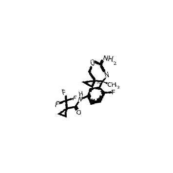 C[C@]1(c2cc(NC(=O)C3(C(F)(F)F)CC3)ccc2F)N=C(N)OCC12CC2